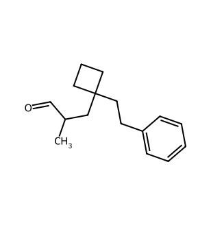 CC(C=O)CC1(CCc2ccccc2)CCC1